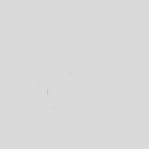 Cc1cc2c(nc(C)n2C)c(CCCOC2CCCCO2)c1-c1cccc2c(C(=O)c3cc(F)c(F)c(F)c3)c[nH]c12